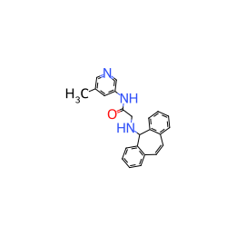 Cc1cncc(NC(=O)CNC2c3ccccc3C=Cc3ccccc32)c1